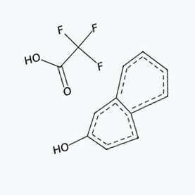 O=C(O)C(F)(F)F.Oc1ccc2ccccc2c1